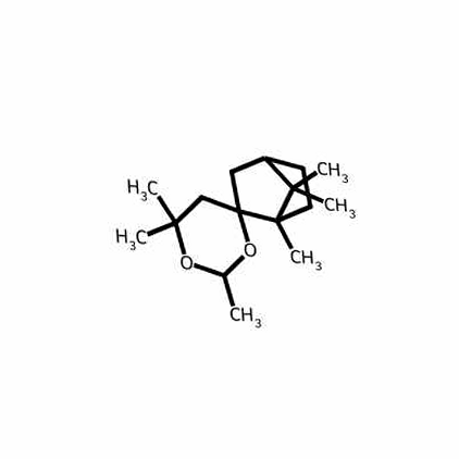 CC1OC(C)(C)CC2(CC3CCC2(C)C3(C)C)O1